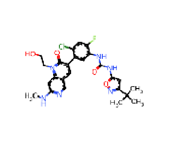 CNc1cc2c(cn1)cc(-c1cc(NC(=O)Nc3cc(C(C)(C)C)no3)c(F)cc1Cl)c(=O)n2CCO